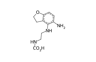 Nc1ccc2c(c1NCCNC(=O)O)CCO2